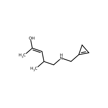 C/C(O)=C\C(C)CNCC1=CC1